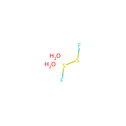 FSSF.O.O